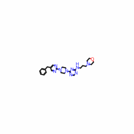 c1ccc(Cc2cnc(N3CCN(c4ncnc(NCCCN5CCOCC5)n4)CC3)nc2)cc1